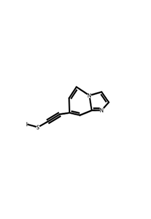 ISC#Cc1ccn2ccnc2c1